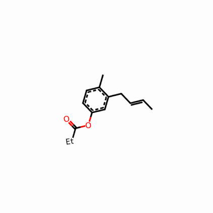 CC=CCc1cc(OC(=O)CC)ccc1C